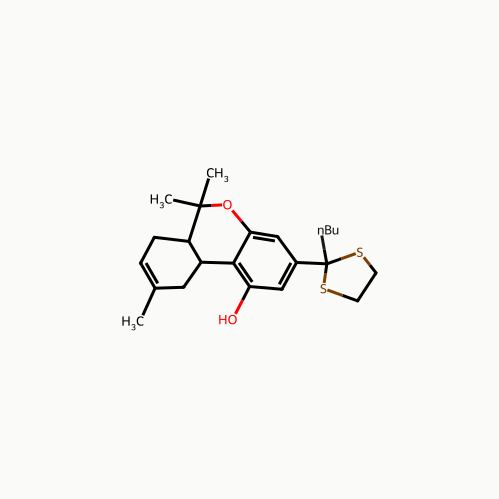 CCCCC1(c2cc(O)c3c(c2)OC(C)(C)C2CC=C(C)CC32)SCCS1